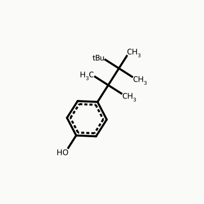 CC(C)(C)C(C)(C)C(C)(C)c1ccc(O)cc1